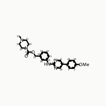 COc1ccc(-c2cnc(Nc3cccc(COC(=O)N4CCN(C)CC4)c3)nc2)cc1